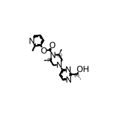 Cc1ncccc1OC(=O)N1[C@H](C)CN(c2ccnc([C@@H](C)O)n2)C[C@@H]1C